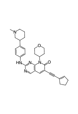 CN1CCCC(c2ccc(Nc3ncc4cc(C#CC5=CCCC5)c(=O)n(C5CCOCC5)c4n3)cc2)C1